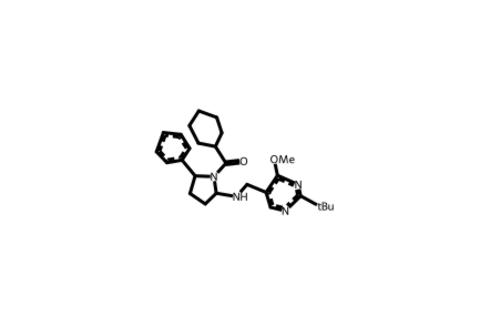 COc1nc(C(C)(C)C)ncc1CNC1CCC(c2ccccc2)N1C(=O)C1CCCCC1